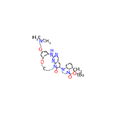 Cc1cccc2c1N(C(=O)OC(C)(C)C)CCN2c1cc2cnc3nc2n(c1=O)CCCCCOc1cc(cc(OCCN(C)C)c1)N3